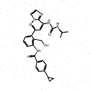 CC(C)NC(=O)Nc1cc(-c2cccc(NC(=O)c3ccc(C4CC4)cc3)c2CO)nn2ccnc12